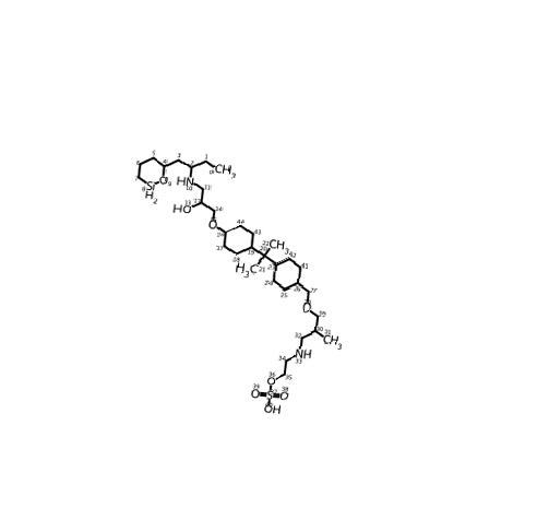 CCC(CC1CCC[SiH2]O1)NCC(O)COC1CCC(C(C)(C)C2CCC(COCC(C)CNCCOS(=O)(=O)O)CC2)CC1